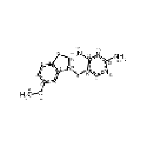 COc1ccc2c(c1)N(Cc1cnc(N)nc1N)CC2